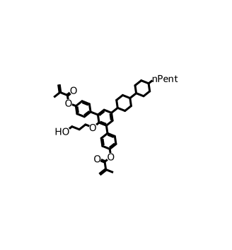 C=C(C)C(=O)Oc1ccc(-c2cc(C3CCC(C4CCC(CCCCC)CC4)CC3)cc(-c3ccc(OC(=O)C(=C)C)cc3)c2OCCCO)cc1